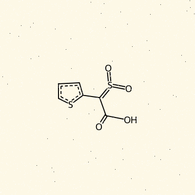 O=C(O)C(c1cccs1)=S(=O)=O